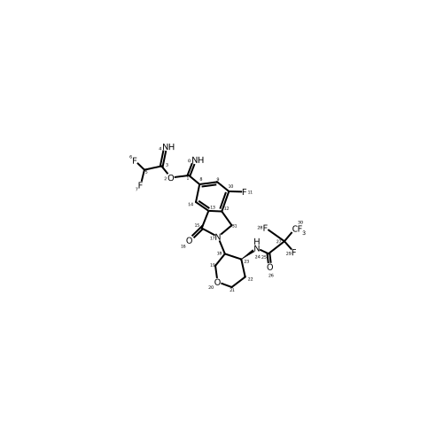 N=C(OC(=N)C(F)F)c1cc(F)c2c(c1)C(=O)N(C1COCC[C@@H]1NC(=O)C(F)(F)C(F)(F)F)C2